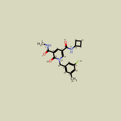 CNC(=O)c1cc(C(=O)NC2CCC2)cn(Cc2cc(C)cc(F)c2)c1=O